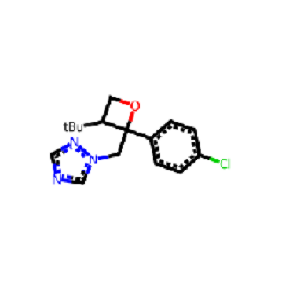 CC(C)(C)C1COC1(Cn1cncn1)c1ccc(Cl)cc1